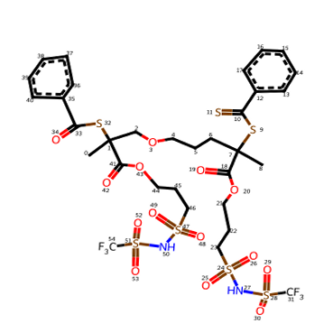 CC(COCCCC(C)(SC(=S)c1ccccc1)C(=O)OCCCS(=O)(=O)NS(=O)(=O)C(F)(F)F)(SC(=O)c1ccccc1)C(=O)OCCCS(=O)(=O)NS(=O)(=O)C(F)(F)F